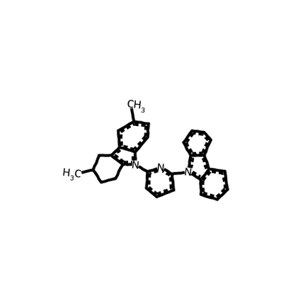 Cc1ccc2c(c1)c1c(n2-c2cccc(-n3c4ccccc4c4ccccc43)n2)CCC(C)C1